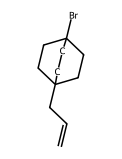 C=CCC12CCC(Br)(CC1)CC2